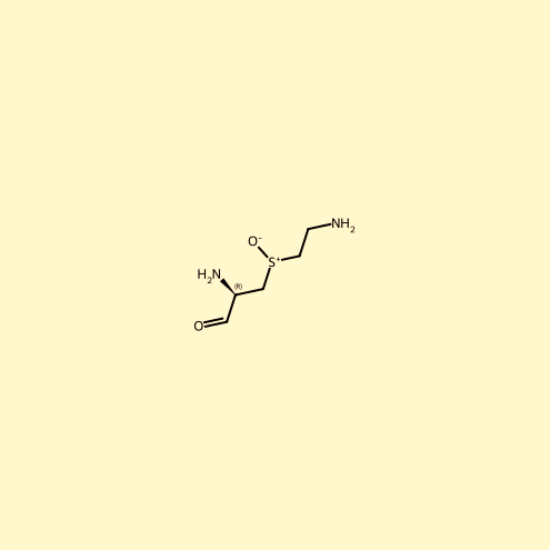 NCC[S+]([O-])C[C@H](N)C=O